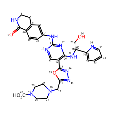 O=C1NCCc2cc(Nc3ncc(-c4nnc(CN5CCN(C(=O)O)CC5)o4)c(N[C@H](CO)c4ccccn4)n3)ccc21